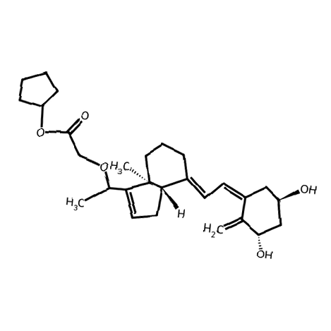 C=C1/C(=C\C=C2/CCC[C@]3(C)C(C(C)OCC(=O)OC4CCCC4)=CC[C@@H]23)C[C@@H](O)C[C@@H]1O